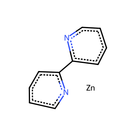 [Zn].c1ccc(-c2ccccn2)nc1